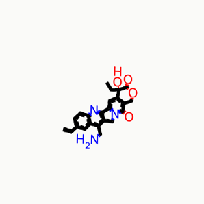 C=Cc1ccc2nc3c(c(CN)c2c1)Cn1c-3cc2c(c1=O)COC(=O)[C@]2(O)CC